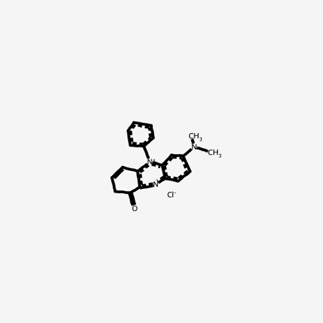 CN(C)c1ccc2nc3c([n+](-c4ccccc4)c2c1)C=CCC3=O.[Cl-]